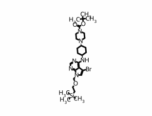 CC(C)(C)OC(=O)N1CCN([C@H]2CC[C@H](Nc3ncnc4c3c(Br)cn4COCC[Si](C)(C)C)CC2)CC1